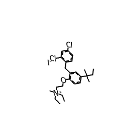 CCC(C)(C)c1ccc(OCC[N+](C)(CC)CC)c(Cc2ccc(Cl)cc2Cl)c1.[I-]